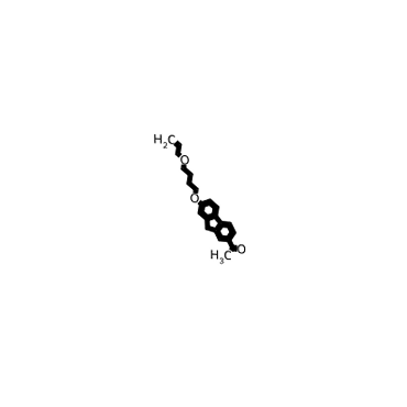 C=CCOCCCCOc1ccc2c(c1)Cc1cc(C(C)=O)ccc1-2